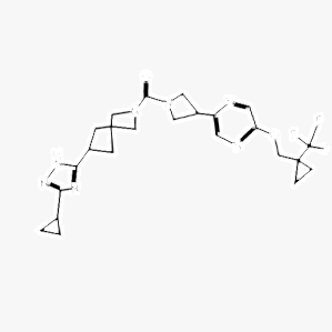 O=C(N1CC(c2cnc(OCC3(C(F)(F)F)CC3)cn2)C1)N1CC2(CC(c3nc(C4CC4)n[nH]3)C2)C1